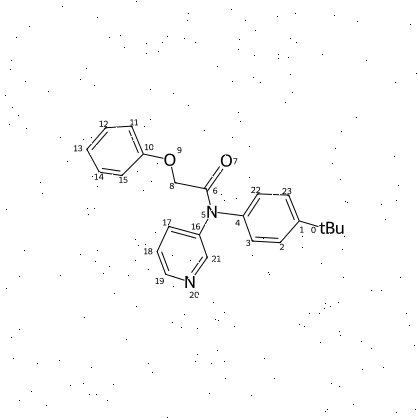 CC(C)(C)c1ccc(N(C(=O)COc2ccccc2)c2cccnc2)cc1